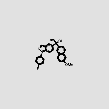 COc1ccc2cc(C(O)(CF)c3ccc4c(cnn4-c4ccc(F)cc4)c3)ccc2c1